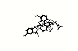 Cc1ccc(O)c2c1[C@]13CC4[C@@H](N4CC4CC4)[C@]1(O)CCC(N1Cc4ccc(F)cc4C1=O)[C@@H]3O2